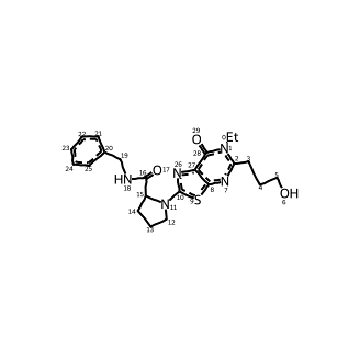 CCn1c(CCCO)nc2sc(N3CCCC3C(=O)NCc3ccccc3)nc2c1=O